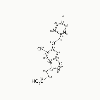 Cc1cnc(COc2cc3onc(CCC(=O)O)c3cc2Cl)nc1